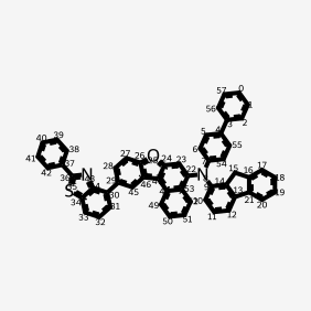 c1ccc(-c2ccc(N(c3cccc4c3Cc3ccccc3-4)c3cc4oc5ccc(-c6cccc7sc(-c8ccccc8)nc67)cc5c4c4ccccc34)cc2)cc1